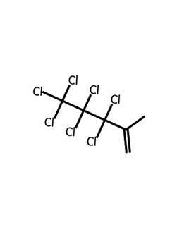 C=C(C)C(Cl)(Cl)C(Cl)(Cl)C(Cl)(Cl)Cl